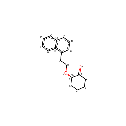 O=C1CCCC[C@H]1OCCc1cccc2ccccc12